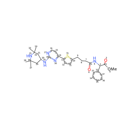 COC(=O)C(NC(=O)CCCc1ccc(-c2ccnc(NC3CC(C)(C)NC(C)(C)C3)n2)s1)c1ccccc1